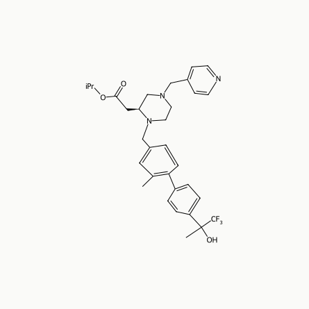 Cc1cc(CN2CCN(Cc3ccncc3)C[C@@H]2CC(=O)OC(C)C)ccc1-c1ccc(C(C)(O)C(F)(F)F)cc1